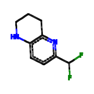 FC(F)c1ccc2c(n1)CCCN2